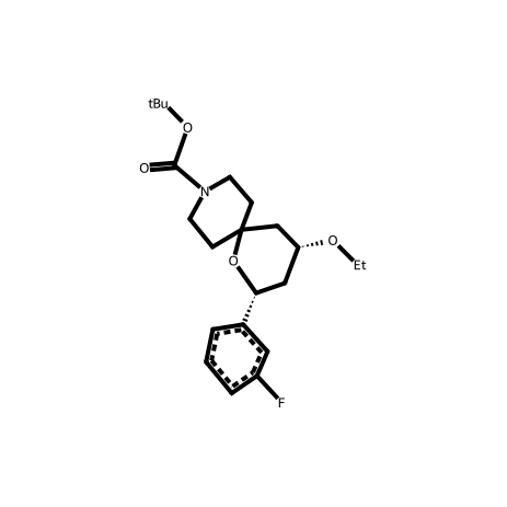 CCO[C@@H]1C[C@H](c2cccc(F)c2)OC2(CCN(C(=O)OC(C)(C)C)CC2)C1